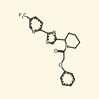 O=C(COc1ccccc1)N1CCCCC1c1csc(-c2ccc(C(F)(F)F)cn2)n1